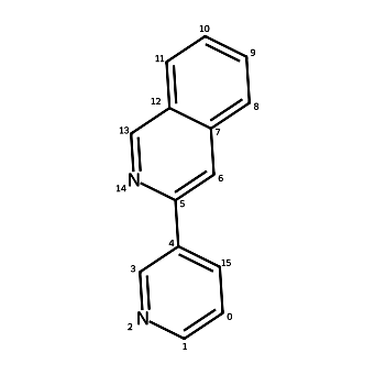 c1cncc(-c2cc3ccccc3cn2)c1